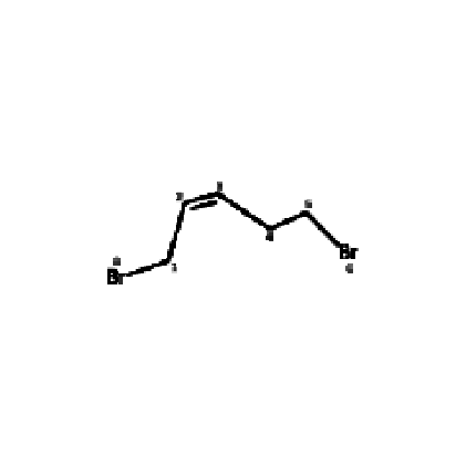 BrC/C=C\CCBr